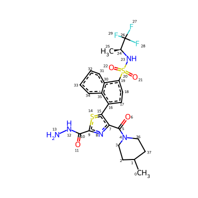 CC1CCN(C(=O)c2nc(C(=O)NN)sc2-c2ccc(S(=O)(=O)N[C@@H](C)C(F)(F)F)c3ccccc23)CC1